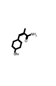 CC(=CC1CCC(C(C)(C)C)CC1)C(N)=O